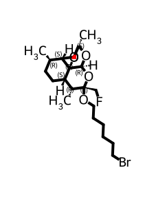 C[C@@H]1CC[C@H]2[C@@H](C)[C@@](CF)(OCCCCCCBr)O[C@@H]3O[C@]4(C)C[C@@H]1[C@]32OO4